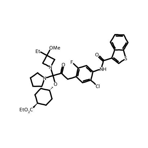 CCOC(=O)[C@H]1CC[C@H](OC(C(=O)Cc2cc(Cl)c(NC(=O)c3csc4ccccc34)cc2F)(N2CCCC2)N2CC(CC)(OC)C2)CC1